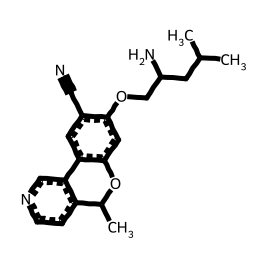 CC(C)CC(N)COc1cc2c(cc1C#N)-c1cnccc1C(C)O2